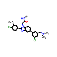 COc1cc(-c2nc3cc(-c4cc(Cl)cc(CN(C)C)c4)ccc3n2CC(=O)NC(C)C)ccc1F